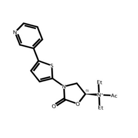 CC[N+](CC)(C(C)=O)[C@@H]1CN(c2ccc(-c3cccnc3)s2)C(=O)O1